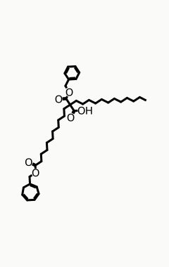 CCCCCCCCCCCCC(CCCCCCCCCCC(=O)OCC1=CC=CC=CC1)(C(=O)O)C(=O)OCc1ccccc1